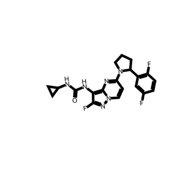 O=C(Nc1c(F)nn2ccc(N3CCCC3c3cc(F)ccc3F)nc12)NC1CC1